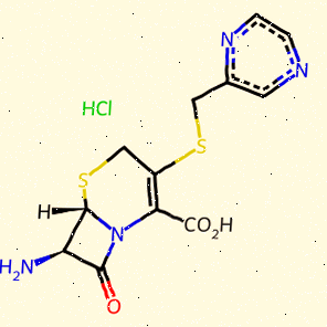 Cl.N[C@@H]1C(=O)N2C(C(=O)O)=C(SCc3cnccn3)CS[C@@H]12